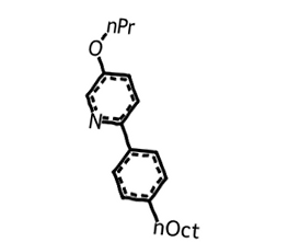 CCCCCCCCc1ccc(-c2ccc(OCCC)cn2)cc1